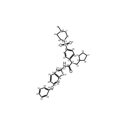 CN1CCN(S(=O)(=O)c2ccc([C@@H](CC3CCCC3)C(=O)Nc3nc4ccc(Oc5ccccc5)nc4s3)cc2)CC1